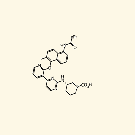 CCCC(=O)Nc1cccc2c(Oc3ncccc3-c3ccnc(N[C@H]4CCCN(C(=O)O)C4)n3)c(C)ccc12